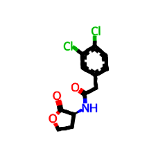 O=C(Cc1ccc(Cl)c(Cl)c1)N[C@H]1CCOC1=O